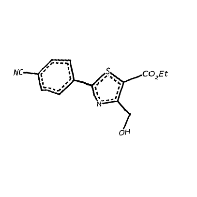 CCOC(=O)c1sc(-c2ccc(C#N)cc2)nc1CO